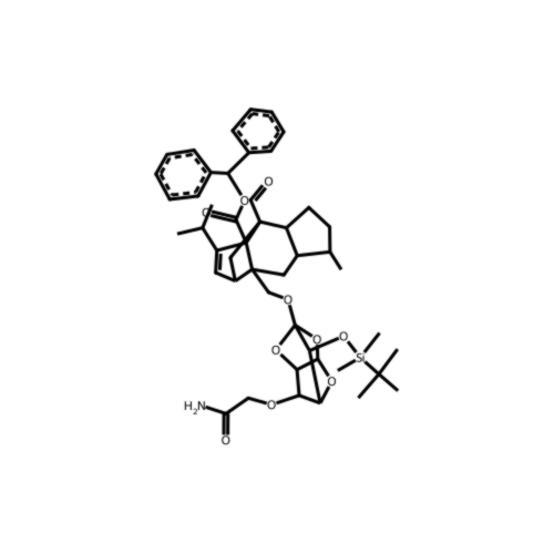 CC(C)C1=CC2CC3(C=O)C4CCC(C)C4CC2(COC24OC5OC(C(OCC(N)=O)C5O2)C4O[Si](C)(C)C(C)(C)C)C13C(=O)OC(c1ccccc1)c1ccccc1